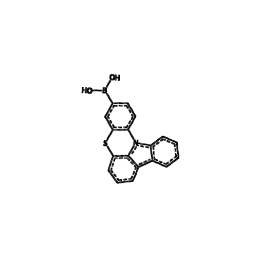 OB(O)c1ccc2c(c1)Sc1cccc3c4ccccc4n-2c13